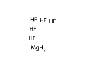 F.F.F.F.F.[MgH2]